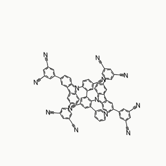 N#Cc1cc(C#N)cc(-c2ccc3c(c2)c2cc(-c4cc(C#N)cc(C#N)c4)ccc2n3-c2ccc(C#N)cc2-c2cc(C#N)cc(-c3cccnc3)c2-n2c3ccc(-c4cc(C#N)cc(C#N)c4)cc3c3cc(-c4cc(C#N)cc(C#N)c4)ccc32)c1